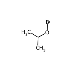 [B]OC(C)C